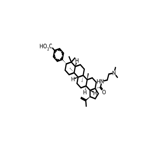 C=C(C)[C@@H]1CC[C@]2(C(=O)NCCN(C)C)CC[C@]3(C)[C@H](CC[C@@H]4[C@@]5(C)CC[C@H](c6ccc(C(=O)O)cc6)C(C)(C)[C@@H]5CC[C@]43C)[C@@H]12